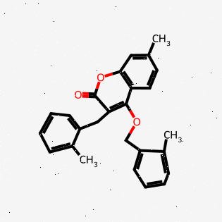 Cc1ccc2c(OCc3ccccc3C)c(Cc3ccccc3C)c(=O)oc2c1